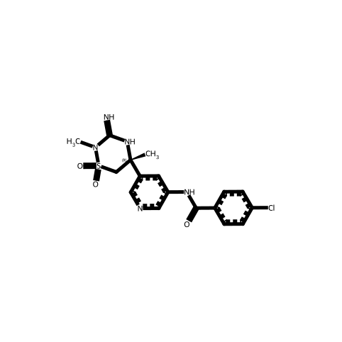 CN1C(=N)N[C@](C)(c2cncc(NC(=O)c3ccc(Cl)cc3)c2)CS1(=O)=O